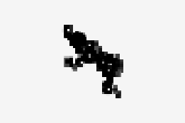 C=C/C=C(Cl)\C=C(/C)S/C(=N\C)N1CC(C)N(Cc2cccc(CCl)c2)C(C)C1